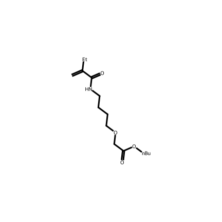 C=C(CC)C(=O)NCCCCOCC(=O)OCCCC